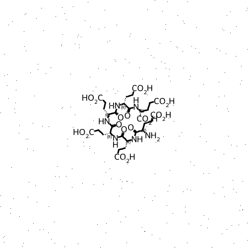 N[C@H](CCC(=O)O)C(=O)N[C@H](CCC(=O)O)C(=O)N[C@H](CCC(=O)O)C(=O)N[C@H](CCC(=O)O)C(=O)N[C@H](CCC(=O)O)C(=O)N[C@H](CCC(=O)O)C(=O)O